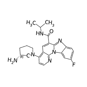 CC(C)NC(=O)c1cc2c(N3CCC[C@@H](N)C3)ccnc2n2c1nc1ccc(F)cc12